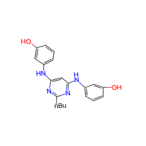 CCCCc1nc(Nc2cccc(O)c2)cc(Nc2cccc(O)c2)n1